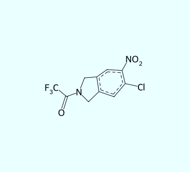 O=C(N1Cc2cc(Cl)c([N+](=O)[O-])cc2C1)C(F)(F)F